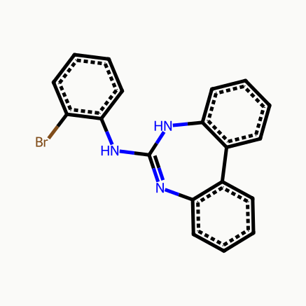 Brc1ccccc1NC1=Nc2ccccc2-c2ccccc2N1